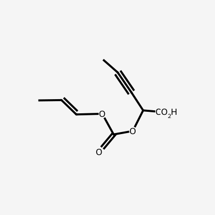 CC#CC(OC(=O)OC=CC)C(=O)O